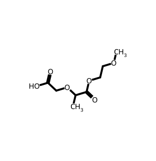 COCCOC(=O)C(C)OCC(=O)O